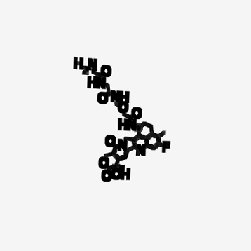 Cc1c(F)cc2nc3c(c4c2c1CC[C@@H]4NC(=O)COCNC(=O)CNC(=O)CN)Cn1c-3cc2c(c1=O)COC(=O)[C@@]2(C)O